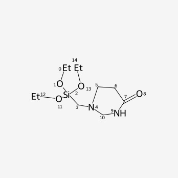 CCO[Si](CN1CCC(=O)NC1)(OCC)OCC